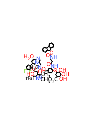 Cc1c(CCOc2c(-c3ccc4ncc(CN(C)C(=O)OCc5ccc(O[C@@H]6C[C@H](C(=O)O)[C@@H](O)[C@H](O)[C@H]6O)c(NC(=O)CCNC(=O)OC6c7ccccc7-c7ccccc76)c5)n4c3)ccc(F)c2F)c(C(O)C(C)(C)C)nn1C.O